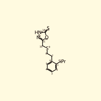 CC(C)c1ccccc1CCSCc1n[nH]c(=S)o1